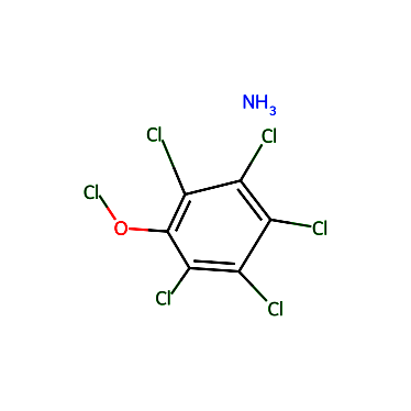 ClOc1c(Cl)c(Cl)c(Cl)c(Cl)c1Cl.N